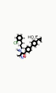 Cc1noc(-c2ccc(-c3ccc(C4(C(=O)O)CC4)cc3)cc2)c1N(C)CCCc1ccccc1Cl